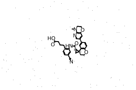 CN1CCOc2cc(-c3ccc4c(c3)[C@]3(CCO4)C[C@H]3C(=O)Nc3cc(C#N)ccc3CCCC(=O)O)cnc21